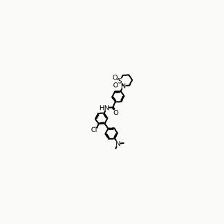 CN(C)c1ccc(-c2cc(NC(=O)c3ccc(N4CCCCS4(=O)=O)cc3)ccc2Cl)cc1